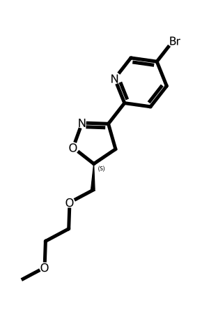 COCCOC[C@@H]1CC(c2ccc(Br)cn2)=NO1